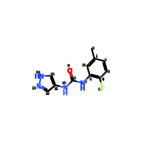 Cc1ccc(F)c(NC(=O)Nc2cn[nH]c2)c1